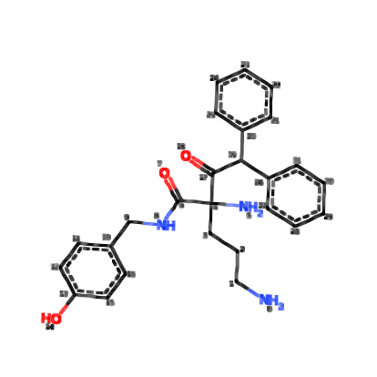 NCCCC(N)(C(=O)NCc1ccc(O)cc1)C(=O)C(c1ccccc1)c1ccccc1